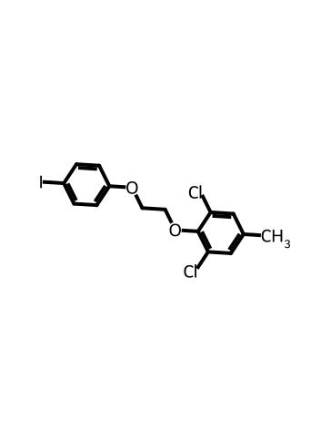 Cc1cc(Cl)c(OCCOc2ccc(I)cc2)c(Cl)c1